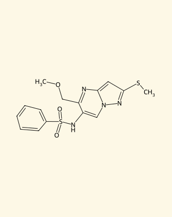 COCc1nc2cc(SC)nn2cc1NS(=O)(=O)c1ccccc1